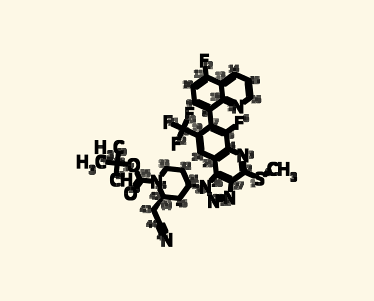 CSc1nc2c(F)c(-c3ccc(F)c4cccnc34)c(C(F)(F)F)cc2c2c1nnn2[C@H]1CCN(C(=O)OC(C)(C)C)[C@H](CC#N)C1